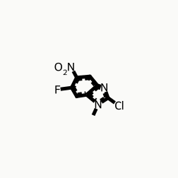 Cn1c(Cl)nc2cc([N+](=O)[O-])c(F)cc21